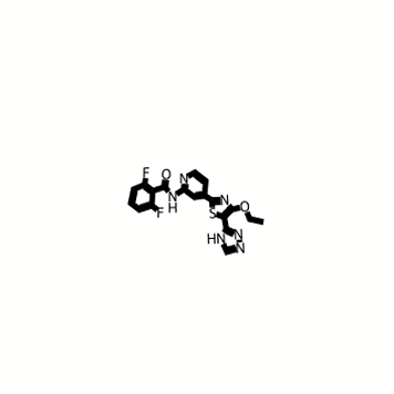 CCOc1nc(-c2ccnc(NC(=O)c3c(F)cccc3F)c2)sc1-c1nnc[nH]1